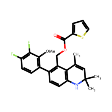 COc1c(-c2ccc3c(c2COC(=O)c2cccs2)C(C)=CC(C)(C)N3)ccc(F)c1F